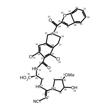 CO[C@@H]1CN(/C(=N/C#N)NC[C@H](NC(=O)c2c(Cl)cc3c(c2Cl)CCN(C(=O)c2cc4ccccc4o2)C3)C(=O)O)CC1O